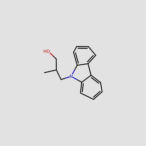 CC(CO)Cn1c2ccccc2c2ccccc21